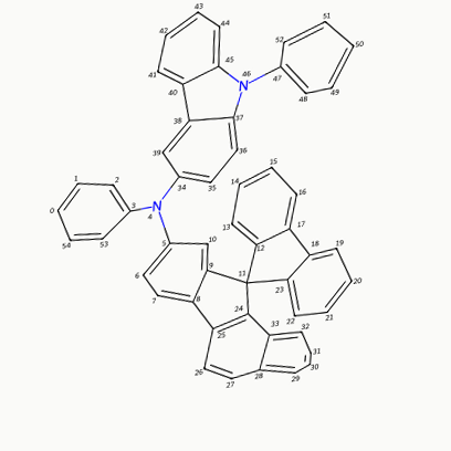 c1ccc(N(c2ccc3c(c2)C2(c4ccccc4-c4ccccc42)c2c-3ccc3ccccc23)c2ccc3c(c2)c2ccccc2n3-c2ccccc2)cc1